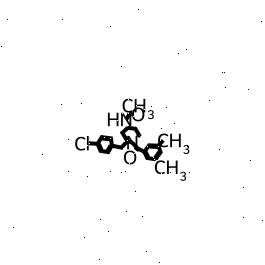 CC(=O)NC1CCN(C(=O)c2cc(C)cc(C)c2)C(Cc2ccc(Cl)cc2)C1